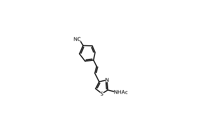 CC(=O)Nc1nc(/C=C/c2ccc(C#N)cc2)cs1